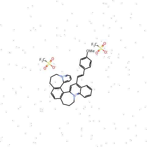 COc1ccc(/C=C/c2cc3[n+](c4ccccc24)CCCc2ccc4c(c2-3)-c2cccc[n+]2CCC4)cc1.O=S(=O)([O-])C(F)(F)F.O=S(=O)([O-])C(F)(F)F